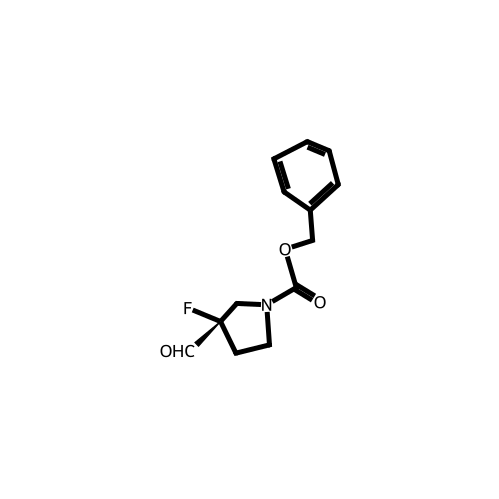 O=C[C@]1(F)CCN(C(=O)OCc2ccccc2)C1